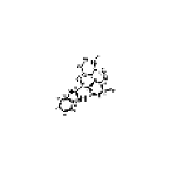 CN1CCC(OC(c2ccc(F)c(OC(F)(F)F)c2)c2nc3ccccc3[nH]2)CC1